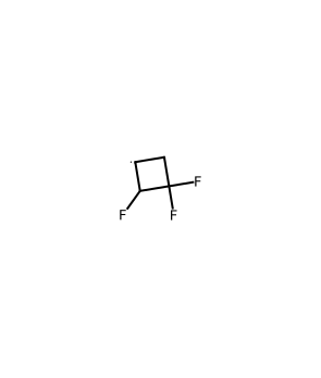 FC1[CH]CC1(F)F